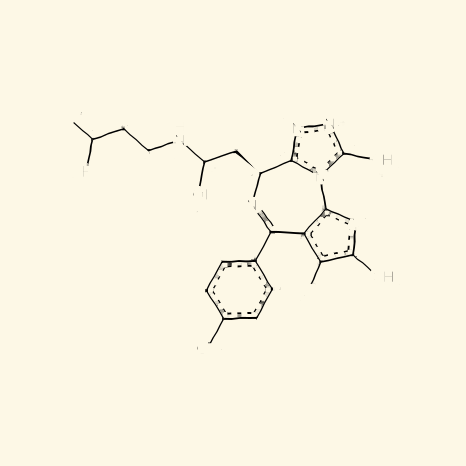 Cc1sc2c(c1C)C(c1ccc(Cl)cc1)=N[C@@H](CC(O)NCCC(F)F)c1nnc(C)n1-2